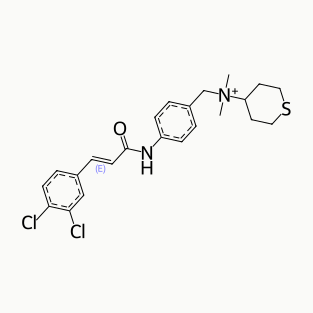 C[N+](C)(Cc1ccc(NC(=O)/C=C/c2ccc(Cl)c(Cl)c2)cc1)C1CCSCC1